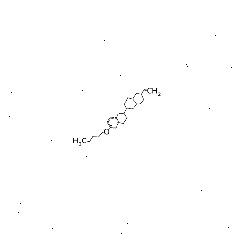 C=CC1CCC2CC(C3CCc4cc(OCCCCC)ccc4C3)CCC2C1